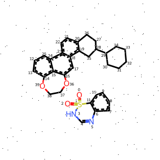 O=S1(=O)NC=Nc2ccccc21.c1cc2c3c(cc4c5c(ccc4c3c1)CCC(C1CCCCC1)C5)OCCO2